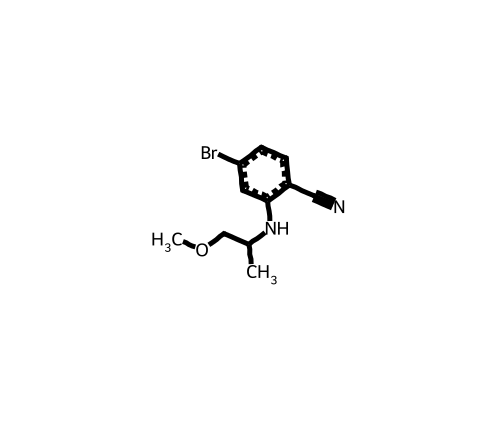 COCC(C)Nc1cc(Br)ccc1C#N